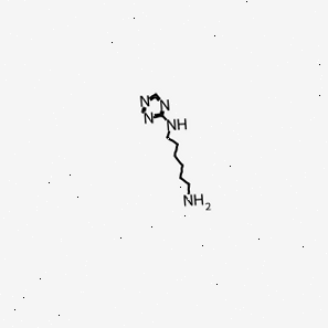 NCCCCCCNc1ncncn1